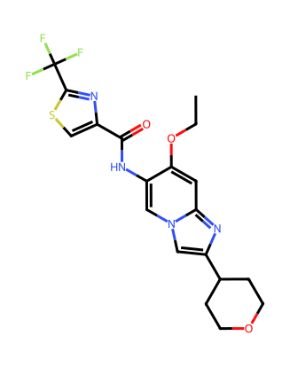 CCOc1cc2nc(C3CCOCC3)cn2cc1NC(=O)c1csc(C(F)(F)F)n1